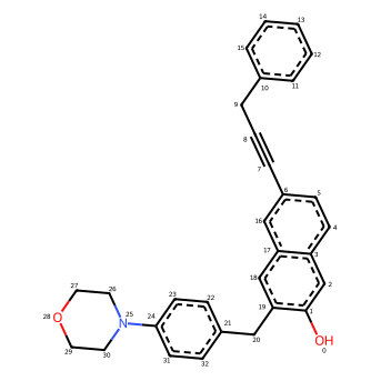 Oc1cc2ccc(C#CCc3ccccc3)cc2cc1Cc1ccc(N2CCOCC2)cc1